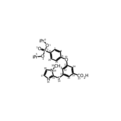 CC(C)OP(=O)(OC(C)C)c1ccc(Oc2cc(Sc3nccn3C)cc(C(=O)O)c2)cc1